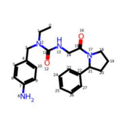 CCN(Cc1ccc(N)cc1)C(=O)NCC(=O)N1CCCC1c1ccccc1